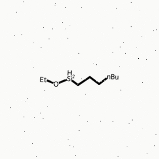 CCCCCCC[SiH2]OCC